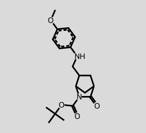 COc1ccc(NCC2CC3CC2N(C(=O)OC(C)(C)C)C3=O)cc1